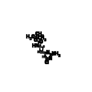 CC(C)(C)OC(=O)N[C@H]1C[C@H](c2cc(Cl)nc(N)n2)C1